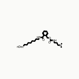 CCCCCCCCCCCCCCCCCCNC(=O)c1ccccc1COC(=O)NCCCN(C)C